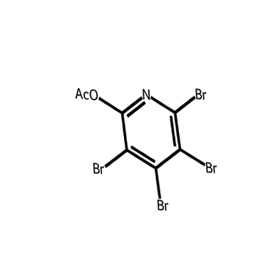 CC(=O)Oc1nc(Br)c(Br)c(Br)c1Br